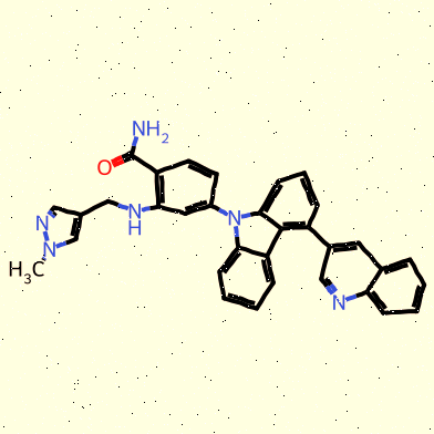 Cn1cc(CNc2cc(-n3c4ccccc4c4c(-c5cnc6ccccc6c5)cccc43)ccc2C(N)=O)cn1